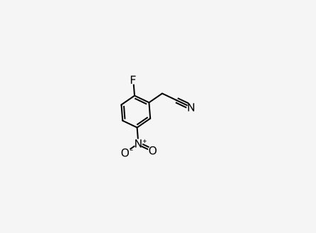 N#CCc1cc([N+](=O)[O-])ccc1F